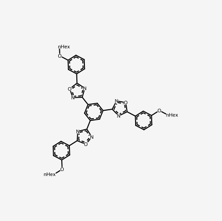 CCCCCCOc1cccc(-c2nc(-c3cc(-c4noc(-c5cccc(OCCCCCC)c5)n4)cc(-c4noc(-c5cccc(OCCCCCC)c5)n4)c3)no2)c1